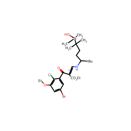 CCOC(=O)/C(=C\NC(CCC(C)(C)[Si](C)(C)O)C(C)(C)C)C(=O)c1cc(Br)cc(OCC)c1Cl